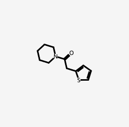 O=C(Cc1cccs1)N1CCCCC1